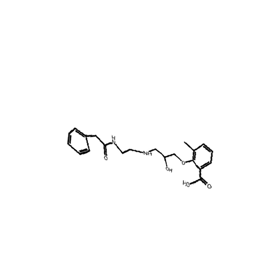 Cc1cccc(C(=O)O)c1OCC(O)CNCCNC(=O)Cc1ccccc1